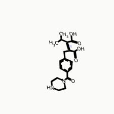 CC(C)/C(C(=O)O)=C(\Cc1ccc(C(=O)N2CCNCC2)cc1)C(=O)O